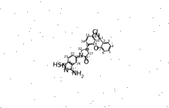 N#Cc1ccccc1Oc1cc(Cl)ccc1[C@H]1CC(=O)N(c2ccc3c(c2)c(N)nn3S)C1